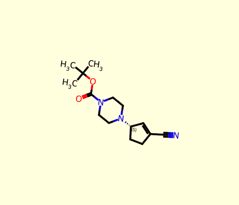 CC(C)(C)OC(=O)N1CCN([C@@H]2C=C(C#N)CC2)CC1